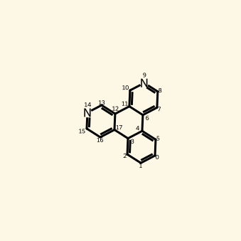 c1ccc2c(c1)c1ccncc1c1cnccc21